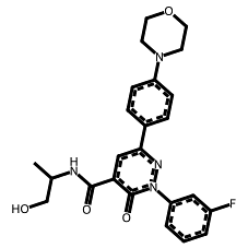 CC(CO)NC(=O)c1cc(-c2ccc(N3CCOCC3)cc2)nn(-c2cccc(F)c2)c1=O